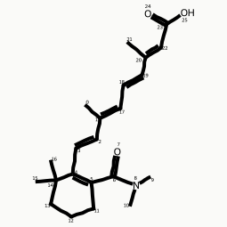 CC(/C=C/C1=C(C(=O)N(C)C)CCCC1(C)C)=C\C=C\C(C)=C\C(=O)O